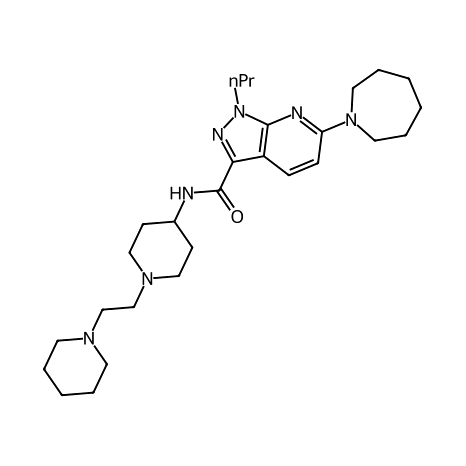 CCCn1nc(C(=O)NC2CCN(CCN3CCCCC3)CC2)c2ccc(N3CCCCCC3)nc21